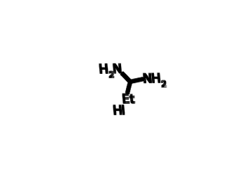 CCC(N)N.I